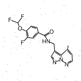 Cc1ccnn2ncc(CNC(=O)c3ccc(OC(F)F)c(F)c3)c12